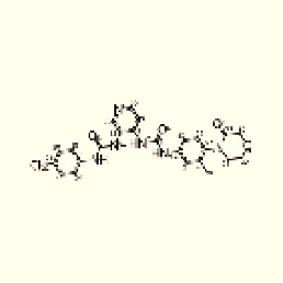 Cc1cc(NC(=O)Nc2ccncc2NC(=O)Nc2ccc(Cl)cc2)ccc1N1CCOCC1=O